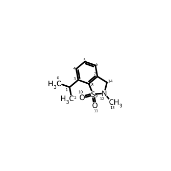 CC(C)c1cccc2c1S(=O)(=O)N(C)C2